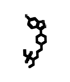 C=CS(=O)(=O)N(CC)CCCN1CCC(c2noc3cc(F)ccc23)CC1